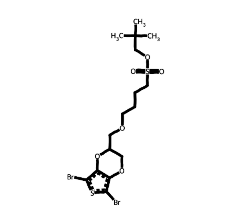 CC(C)(C)COS(=O)(=O)CCCCOCC1COc2c(Br)sc(Br)c2O1